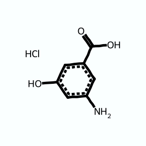 Cl.Nc1cc(O)cc(C(=O)O)c1